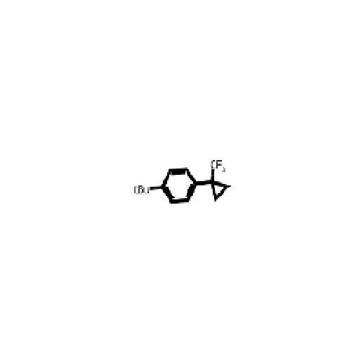 CC(C)(C)c1ccc(C2(C(F)(F)F)CC2)cc1